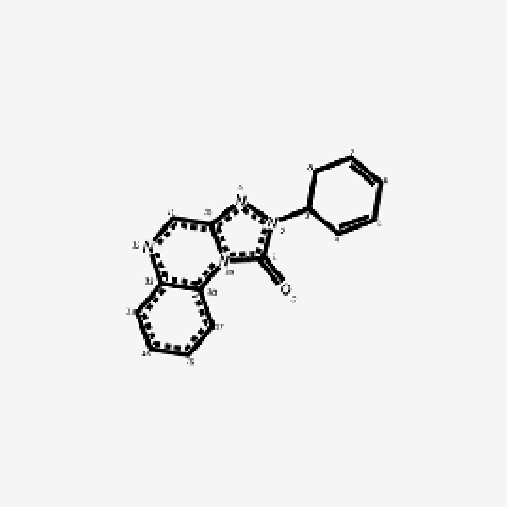 O=c1n(C2C=CC=CC2)nc2cnc3ccccc3n12